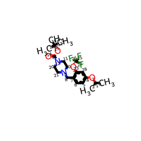 CC(C)Oc1ccc(CN2CCN(C(=O)OC(C)(C)C)CC2)c(OC(F)(F)F)c1